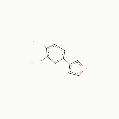 COc1ccc(-c2[c]occ2)cc1OC